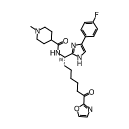 CN1CCC(C(=O)N[C@@H](CCCCCC(=O)c2ncco2)c2nc(-c3ccc(F)cc3)c[nH]2)CC1